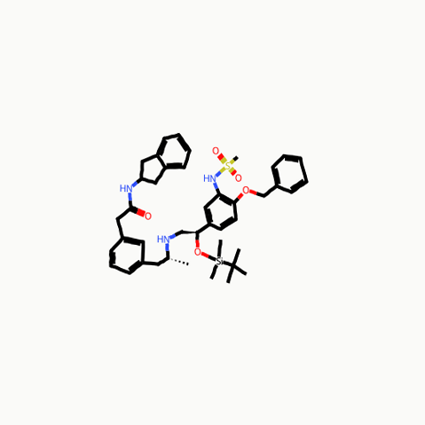 C[C@H](Cc1cccc(CC(=O)NC2Cc3ccccc3C2)c1)NC[C@H](O[Si](C)(C)C(C)(C)C)c1ccc(OCc2ccccc2)c(NS(C)(=O)=O)c1